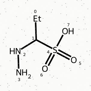 CCC(NN)S(=O)(=O)O